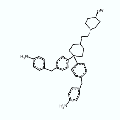 CCC[C@H]1CC[C@H](CCC2CCC(c3ccc(Cc4ccc(N)cc4)cc3)(c3ccc(Cc4ccc(N)cc4)cc3)CC2)CC1